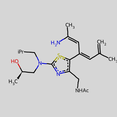 C=C(C)/C=C(\C=C(\C)N)c1sc(N(CC(C)C)C[C@@H](C)O)nc1CNC(C)=O